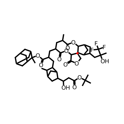 CC(CC(CC(CC1C(C)C2CC(C(O)CC(=O)OC(C)(C)C)C1C2)C(=O)OC1(C)C2CC3CC(C2)CC1C3)C(=O)OC1CCOC1=O)C(=O)OC1CC2CC1CC2CC(C)(O)C(F)(F)F